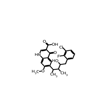 COc1cc2[nH]cc(C(=O)O)c(=O)c2cc1C(C)C(C)C(O)Cc1cccc(Cl)c1F